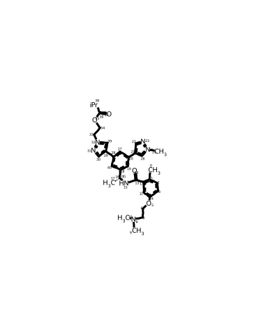 Cc1ccc(OCCN(C)C)cc1C(=O)N[C@H](C)c1cc(-c2cnn(C)c2)cc(-c2cnn(CCOC(=O)C(C)C)c2)c1